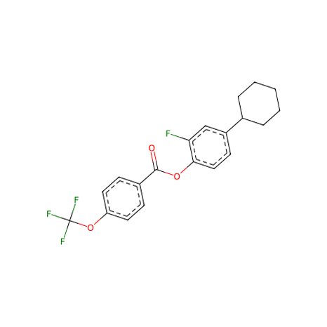 O=C(Oc1ccc(C2CCCCC2)cc1F)c1ccc(OC(F)(F)F)cc1